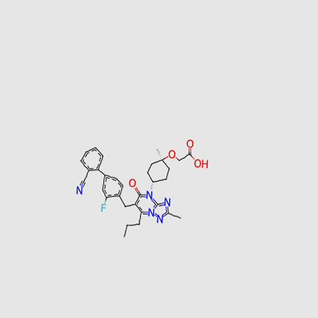 CCCc1c(Cc2ccc(-c3ccccc3C#N)cc2F)c(=O)n([C@H]2CC[C@](C)(OCC(=O)O)CC2)c2nc(C)nn12